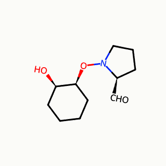 O=C[C@@H]1CCCN1O[C@H]1CCCC[C@H]1O